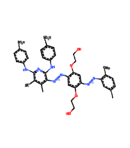 COc1ccc(C)cc1/N=N/c1cc(OCCO)c(/N=N/c2c(Nc3ccc(S(=O)(=O)O)cc3)nc(Nc3ccc(S(=O)(=O)O)cc3)c(C#N)c2C)cc1OCCO